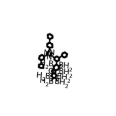 Bc1c(B)c(B)c2c(oc3c(B)c(-c4cc(-c5ccccc5)cc(-c5nc(-c6ccc(-c7ccccc7)cc6)nc(-c6cccc(-c7ccccc7)c6)n5)c4)c(B)c(B)c32)c1B